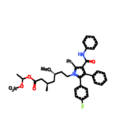 CO[C@H](CCn1c(-c2ccc(F)cc2)c(-c2ccccc2)c(C(=O)Nc2ccccc2)c1C(C)C)C[C@@H](C)CC(=O)OC(C)O[N+](=O)[O-]